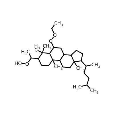 CCOOC1CC2C3CCC(C(C)CCC(C)C)C3(C)CCC2C2(C)CCC(C(C)OO)C(C)(C)C12